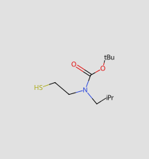 CC(C)CN(CCS)C(=O)OC(C)(C)C